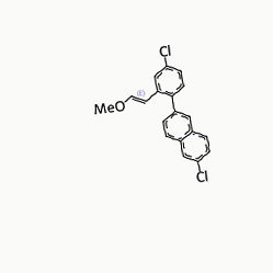 CO/C=C/c1cc(Cl)ccc1-c1ccc2cc(Cl)ccc2c1